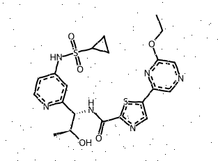 CCOc1cncc(-c2cnc(C(=O)N[C@@H](c3cc(NS(=O)(=O)C4CC4)ccn3)[C@H](C)O)s2)n1